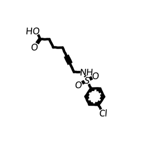 O=C(O)CCCC#CCNS(=O)(=O)c1ccc(Cl)cc1